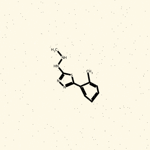 CNNc1nnc(-c2ccccc2C)s1